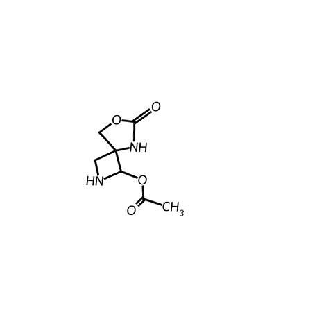 CC(=O)OC1NCC12COC(=O)N2